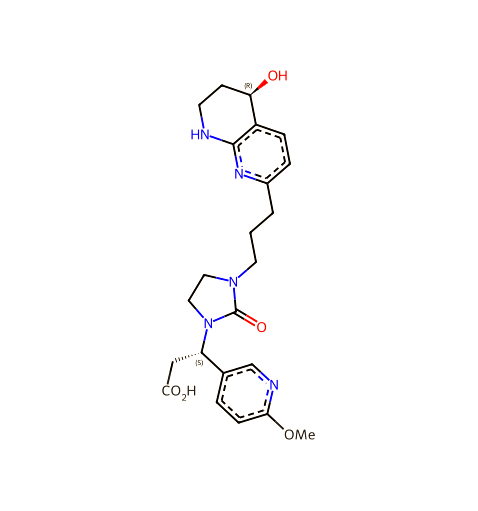 COc1ccc([C@H](CC(=O)O)N2CCN(CCCc3ccc4c(n3)NCC[C@H]4O)C2=O)cn1